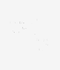 CBc1cc(N(BC)BN)cc(N(BN)BN)c1